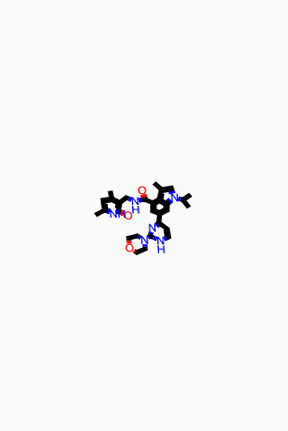 Cc1cc(C)c(CNC(=O)c2cc(C3=NC(N4CCOCC4)NC=C3)cc3c2c(C)cn3C(C)C)c(=O)[nH]1